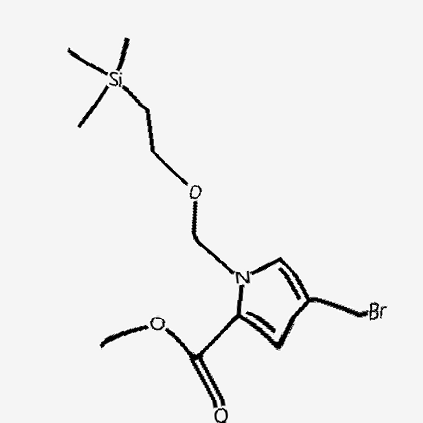 COC(=O)c1cc(Br)cn1COCC[Si](C)(C)C